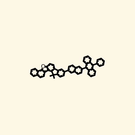 CC1(C)c2ccc(-c3ccc4cc(-c5c6ccccc6c(-c6ccccc6)c6ccccc56)ccc4c3)cc2-c2ccc3oc4c5ccccc5ccc4c3c21